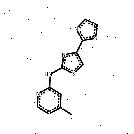 Cc1ccnc(Nc2nc(-c3nccs3)cs2)c1